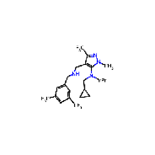 CCCN(CC1CC1)c1c(CNCc2cc(C(F)(F)F)cc(C(F)(F)F)c2)c(C(F)(F)F)nn1C